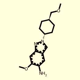 COC[C@H]1CC[C@H](n2cc3cc(N)c(OC)cc3n2)CC1